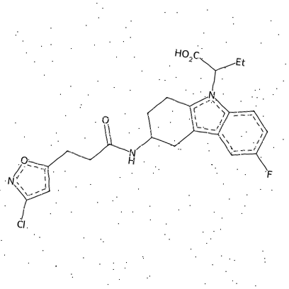 CCC(C(=O)O)n1c2c(c3cc(F)ccc31)CC(NC(=O)CCc1cc(Cl)no1)CC2